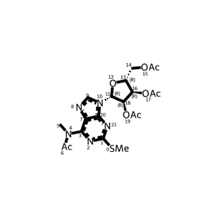 CSc1nc(N(C)C(C)=O)c2ncn([C@@H]3O[C@H](COC(C)=O)[C@@H](OC(C)=O)[C@H]3OC(C)=O)c2n1